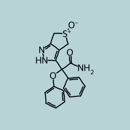 NC(=O)C(Oc1ccccc1)(c1ccccc1)c1[nH]nc2c1C[S+]([O-])C2